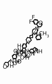 Cc1ccccc1[C@@H]1CN([C@@H]2CCOc3cc(F)c(F)cc32)CCN1C1CC2(CCN(c3ccc(C(=O)NS(=O)(=O)c4ccc(NCC5CCOCC5)c([N+](=O)[O-])c4)c(N4c5cc6cc[nH]c6nc5O[C@H]5COCC[C@@H]54)c3)CC2)C1